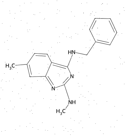 CNc1nc(NCc2ccccc2)c2ccc(C)cc2n1